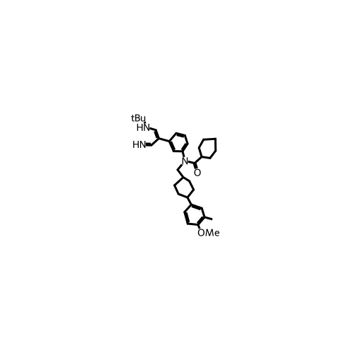 COc1ccc(C2CCC(CN(C(=O)C3CCCCC3)c3cccc(/C(C=N)=C/NC(C)(C)C)c3)CC2)cc1C